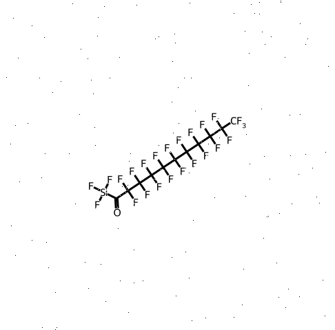 O=C(C(F)(F)C(F)(F)C(F)(F)C(F)(F)C(F)(F)C(F)(F)C(F)(F)C(F)(F)C(F)(F)C(F)(F)F)[Si](F)(F)F